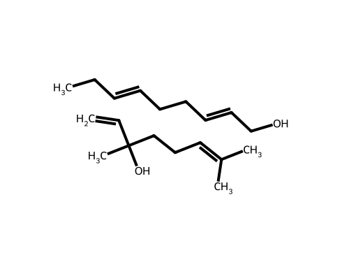 C=CC(C)(O)CCC=C(C)C.CCC=CCCC=CCO